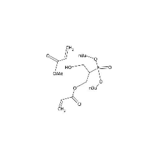 C=CC(=O)OC.C=CC(=O)OCC(CO)P(=O)(OCCCC)OCCCC